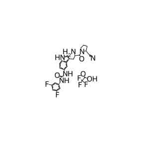 N#CC1CCCN1C(=O)C(N)Cc1c[nH]c2ccc(NC(=O)Nc3cc(F)cc(F)c3)cc12.O=C(O)C(F)(F)F